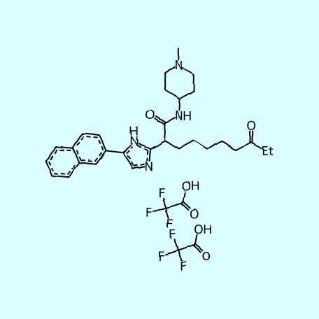 CCC(=O)CCCCCC(C(=O)NC1CCN(C)CC1)c1ncc(-c2ccc3ccccc3c2)[nH]1.O=C(O)C(F)(F)F.O=C(O)C(F)(F)F